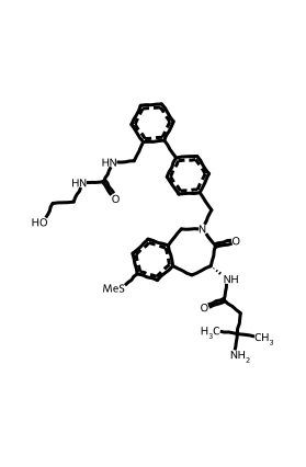 CSc1ccc2c(c1)C[C@@H](NC(=O)CC(C)(C)N)C(=O)N(Cc1ccc(-c3ccccc3CNC(=O)NCCO)cc1)C2